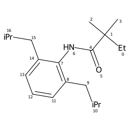 CCC(C)(C)C(=O)Nc1c(CC(C)C)cccc1CC(C)C